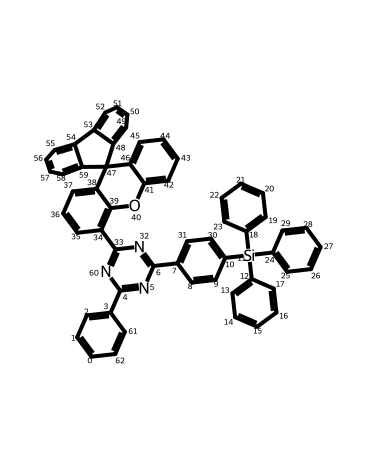 c1ccc(-c2nc(-c3ccc([Si](c4ccccc4)(c4ccccc4)c4ccccc4)cc3)nc(-c3cccc4c3Oc3ccccc3C43c4ccccc4-c4ccccc43)n2)cc1